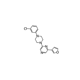 Clc1cccc(N2CCN(c3cncc(-c4ccoc4)n3)CC2)c1